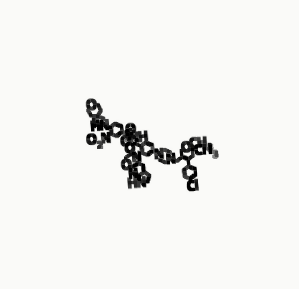 CC1(C)CC(c2ccc(Cl)cc2)=C(CN2CCN(c3ccc(C(=O)NS(=O)(=O)c4ccc(NCC5(F)CCOCC5)c([N+](=O)[O-])c4)c(N4CCOc5nc6[nH]ccc6cc54)c3)CC2)CO1